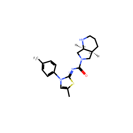 Cc1cn(-c2ccc(C(F)(F)F)cc2)/c(=N/C(=O)N2C[C@@H]3CCCN[C@@H]3C2)s1